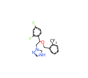 Fc1ccc(C(CN2CNC=N2)OCc2ccccc2C(F)(F)F)c(F)c1